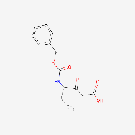 CC[C@H](NC(=O)OCc1ccccc1)C(=O)CC(=O)O